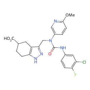 COc1ccc(N(Cc2n[nH]c3c2CC(C(=O)O)CC3)C(=O)Nc2ccc(F)c(Cl)c2)cn1